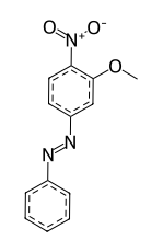 COc1cc(/N=N/c2ccccc2)ccc1[N+](=O)[O-]